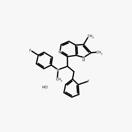 Cc1[nH]c2c(C(Cc3ccccc3F)N(C)c3ccc(F)cc3)nccc2c1C.Cl